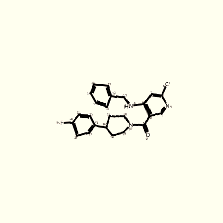 O=C(c1cnc(Cl)cc1NCc1ccccc1)N1CCC(c2ccc(F)cc2)CC1